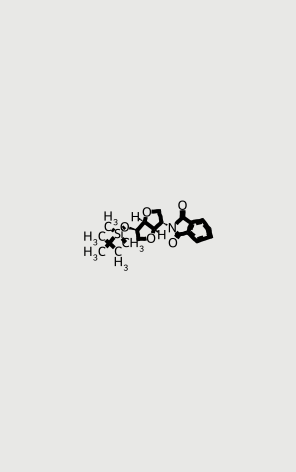 CC(C)(C)[Si](C)(C)O[C@@H]1CO[C@H]2[C@@H]1OC[C@@H]2N1C(=O)c2ccccc2C1=O